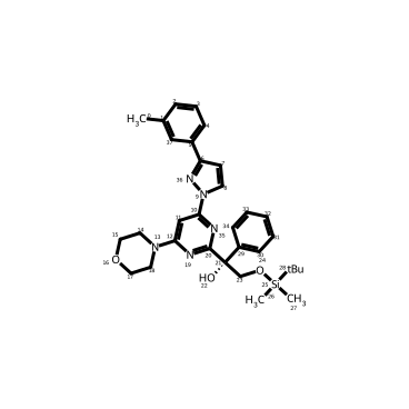 Cc1cccc(-c2ccn(-c3cc(N4CCOCC4)nc([C@](O)(CO[Si](C)(C)C(C)(C)C)c4ccccc4)n3)n2)c1